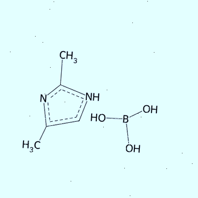 Cc1c[nH]c(C)n1.OB(O)O